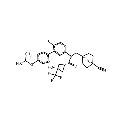 CC(C)Oc1ccc(-c2cc(N(CC34CCC(C#N)(CC3)CC4)C(=O)[C@H]3C[C@](O)(C(F)(F)F)C3)ccc2F)cc1